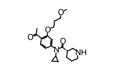 COCCCOc1cc(N(C(=O)[C@@H]2CCCNC2)C2CC2)ccc1C(C)=O